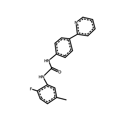 Cc1ccc(F)c(NC(=O)Nc2ccc(-c3ccccn3)cc2)c1